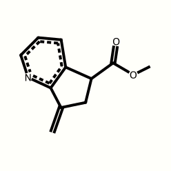 C=C1CC(C(=O)OC)c2cccnc21